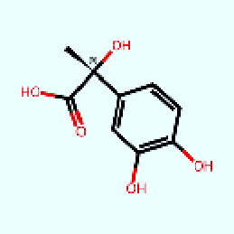 C[C@](O)(C(=O)O)c1ccc(O)c(O)c1